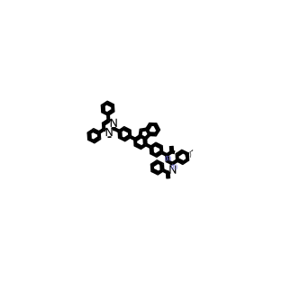 C=C(C)/C(=C\C(=N/C(=C)c1ccccc1)C1=CC[C@@H](C)C=C1)c1ccc(-c2ccc(-c3ccc(C4=NC(c5ccccc5)=CC(c5ccccc5)N4C)cc3)c3c2-c2ccccc2C3)cc1